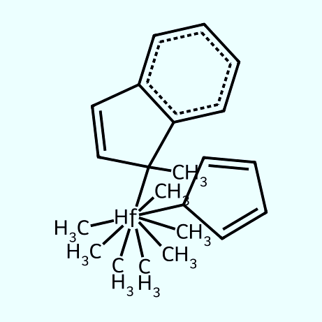 C[C]1([Hf]([CH3])([CH3])([CH3])([CH3])([CH3])([CH3])([CH3])[CH]2C=CC=C2)C=Cc2ccccc21